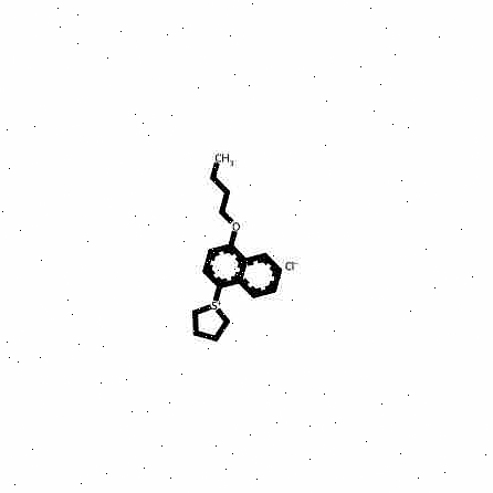 CCCCOc1ccc([S+]2CCCC2)c2ccccc12.[Cl-]